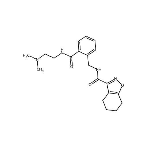 CN(C)CCNC(=O)c1ccccc1CNC(=O)c1noc2c1CCCC2